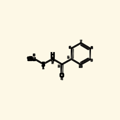 CC(C)(C)SNC(=O)c1ccccc1